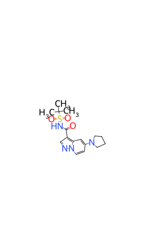 CC(C)(C)S(=O)(=O)NC(=O)c1cnn2ccc(N3CCCC3)cc12